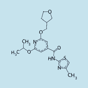 Cc1csc(NC(=O)c2cc(OCC3CCOC3)nc(OC(C)C)c2)n1